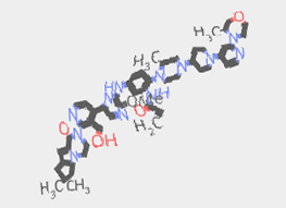 C=CC(=O)Nc1cc(Nc2nc(-c3ccnc(N4CCn5c(cc6c5CC(C)(C)C6)C4=O)c3CO)cnc2OC)ccc1N1CCN(C2CCN(c3ccnc(N4CCOC[C@@H]4C)c3)CC2)C[C@@H]1C